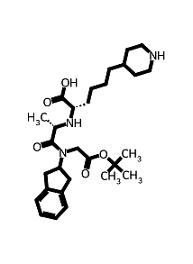 C[C@H](N[C@@H](CCCCC1CCNCC1)C(=O)O)C(=O)N(CC(=O)OC(C)(C)C)C1Cc2ccccc2C1